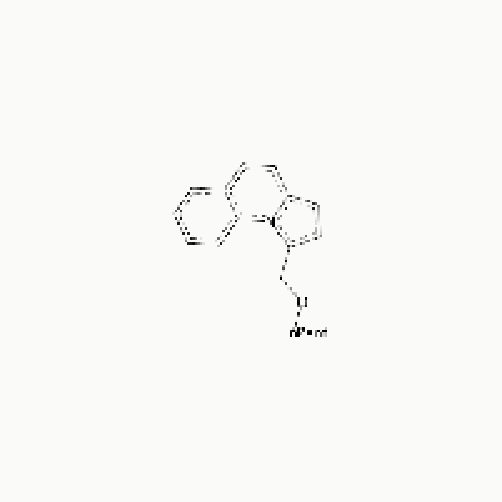 CCCCCOCc1ccc2ccc3ccccc3n12